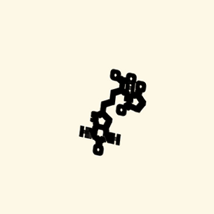 O=C1NC2CC(CCCC(C(=O)O)N3C(=O)CCC3=O)SC2N1